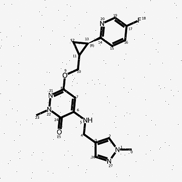 Cn1cc(CNc2cc(OCC3C[C@H]3c3ccc(F)cn3)nn(C)c2=O)cn1